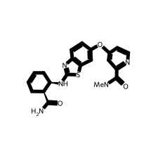 CNC(=O)c1cc(Oc2ccc3nc(N[C@@H]4CC=CC[C@@H]4C(N)=O)sc3c2)ccn1